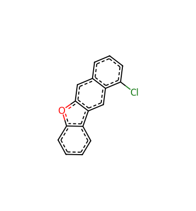 Clc1cccc2cc3oc4ccccc4c3cc12